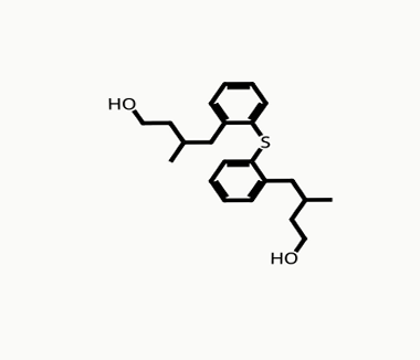 CC(CCO)Cc1ccccc1Sc1ccccc1CC(C)CCO